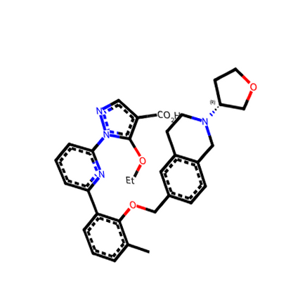 CCOc1c(C(=O)O)cnn1-c1cccc(-c2cccc(C)c2OCc2ccc3c(c2)CCN([C@@H]2CCOC2)C3)n1